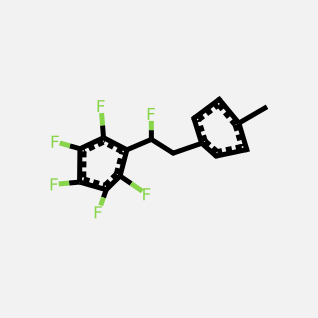 Cc1ccc(CC(F)c2c(F)c(F)c(F)c(F)c2F)cc1